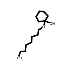 CCCCCCCCOC1(O)CCCCC1